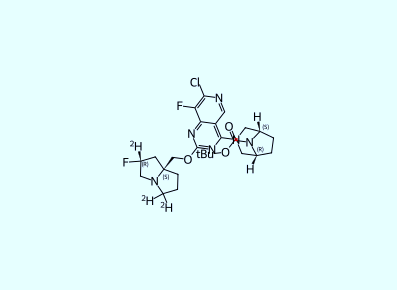 [2H]C1([2H])CC[C@@]2(COc3nc(N4C[C@H]5CC[C@@H](C4)N5C(=O)OC(C)(C)C)c4cnc(Cl)c(F)c4n3)C[C@@]([2H])(F)CN12